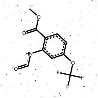 COC(=O)c1ccc(OC(F)(F)F)cc1NC=O